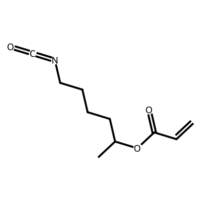 C=CC(=O)OC(C)CCCCN=C=O